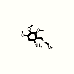 COCOCc1c(N)cc(OC)c(OC)c1OC